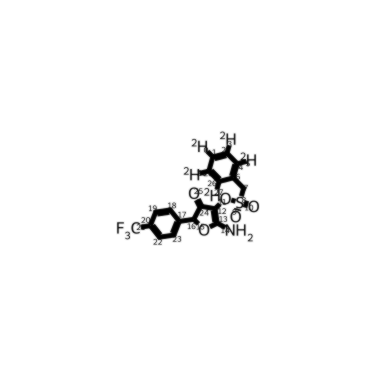 [2H]c1c([2H])c([2H])c(CS(=O)(=O)OC2=C(N)OC(c3ccc(C(F)(F)F)cc3)C2=O)c([2H])c1[2H]